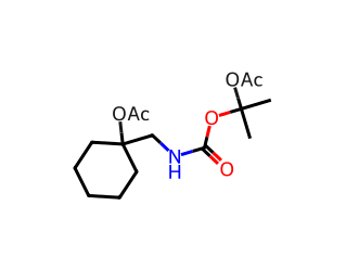 CC(=O)OC1(CNC(=O)OC(C)(C)OC(C)=O)CCCCC1